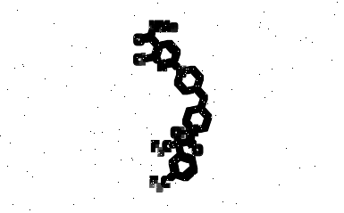 CNC(=O)c1ccc(N2CCC(CC3CCN(C(=O)C(O)(c4cccc(C(F)(F)F)c4)C(F)(F)F)CC3)CC2)nc1Cl